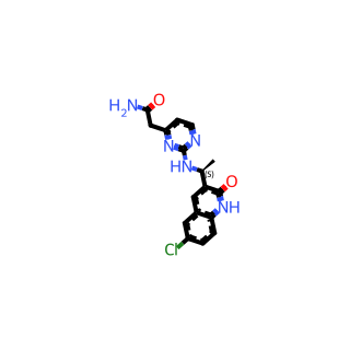 C[C@H](Nc1nccc(CC(N)=O)n1)c1cc2cc(Cl)ccc2[nH]c1=O